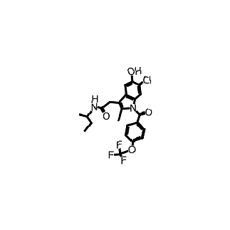 CCC(C)NC(=O)Cc1c(C)n(C(=O)c2ccc(OC(F)(F)F)cc2)c2cc(Cl)c(O)cc12